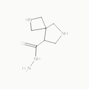 NNC(=O)C1CNCC12CNC2